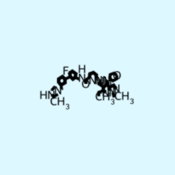 CCc1nc2c(cnn2CC)c(NC2CCOCC2)c1CNc1cccc(C(=O)NCc2ccc(F)c(-c3cccc(CN4CCN[C@@H](C)C4)c3)c2)n1